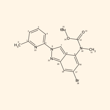 Cc1cccc(-n2cc3c(N(C)C(=O)OC(C)(C)C)cc(Br)cc3n2)n1